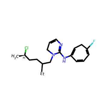 CCC(CC[C@@H](C)Cl)CN1CC=CN=C1NC1=CCC(F)=CC=C1